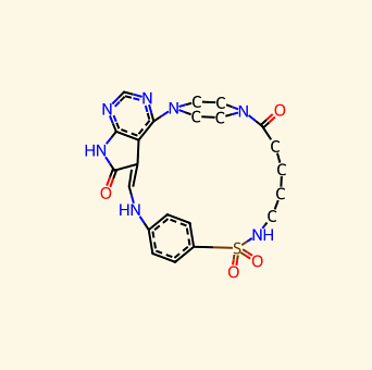 O=C1Nc2ncnc3c2/C1=C/Nc1ccc(cc1)S(=O)(=O)NCCCCC(=O)N1CCN3CC1